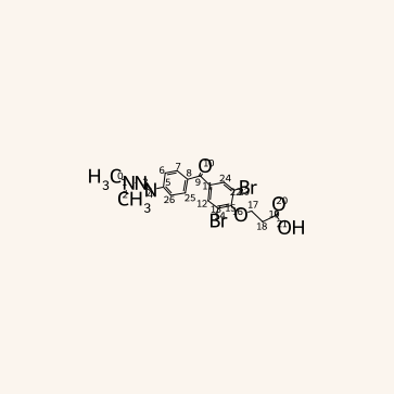 CN(C)N=Nc1ccc(C(=O)c2cc(Br)c(OCCC(=O)O)c(Br)c2)cc1